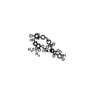 CNC(=O)COc1cc2cc(Nc3nc(N4CCC(CN5CCC6(CC5)CN(c5ccc7c(c5)C(=O)N(C5CCC(=O)NC5=O)C7=O)C6=O)CC4)ncc3Cl)ccc2n(C(C)C)c1=O